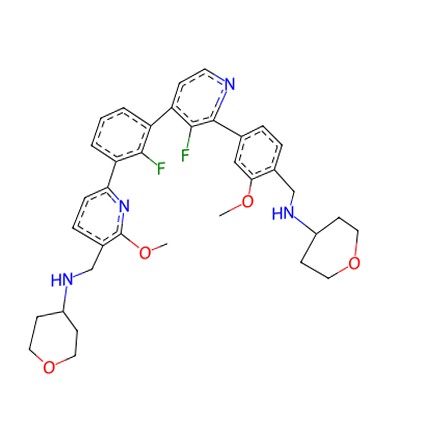 COc1cc(-c2nccc(-c3cccc(-c4ccc(CNC5CCOCC5)c(OC)n4)c3F)c2F)ccc1CNC1CCOCC1